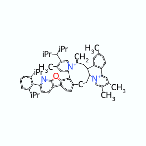 C=C1CC2c3cc(C)ccc3-c3cc(C)c(C)c[n+]3C2CCc2ccc3c(oc4nc(-c5c(C(C)C)cccc5C(C)C)ccc43)c2-c2cc(C)c(C(C(C)C)C(C)C)c[n+]21